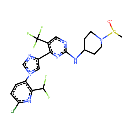 C[S+]([O-])N1CCC(Nc2ncc(C(F)(F)F)c(-c3cn(-c4ccc(Cl)nc4C(F)F)cn3)n2)CC1